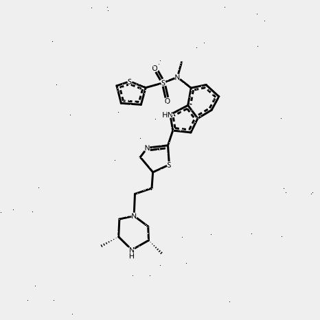 C[C@@H]1CN(CCC2CN=C(c3cc4cccc(N(C)S(=O)(=O)c5cccs5)c4[nH]3)S2)C[C@H](C)N1